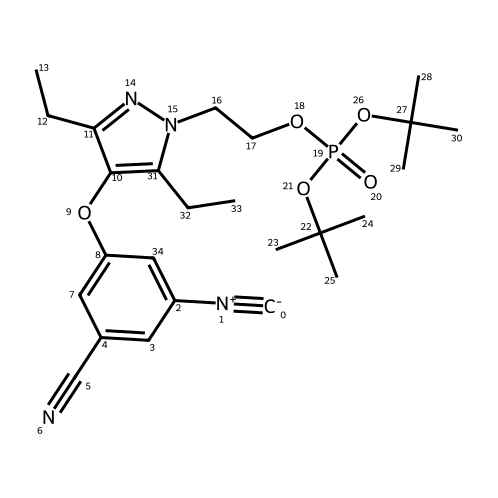 [C-]#[N+]c1cc(C#N)cc(Oc2c(CC)nn(CCOP(=O)(OC(C)(C)C)OC(C)(C)C)c2CC)c1